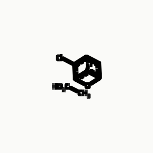 CC(=O)O.Clc1ccc2c(Cl)c1O2